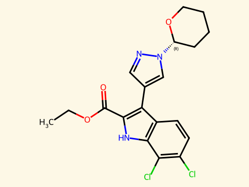 CCOC(=O)c1[nH]c2c(Cl)c(Cl)ccc2c1-c1cnn([C@H]2CCCCO2)c1